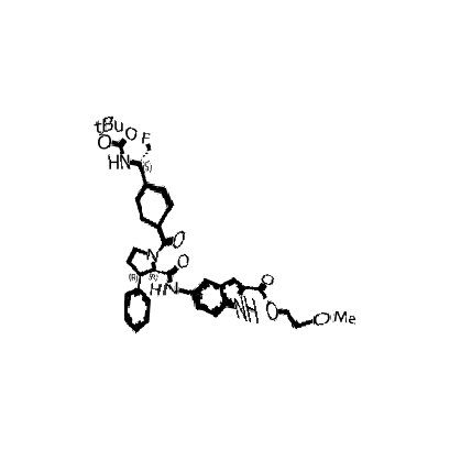 COCCOC(=O)c1cc2cc(NC(=O)[C@H]3[C@@H](c4ccccc4)CCN3C(=O)C3CCC([C@@H](CF)NC(=O)OC(C)(C)C)CC3)ccc2[nH]1